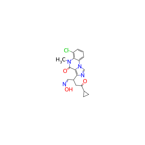 Cn1c(=O)c2c(C(/C=N\O)CC(=O)C3CC3)ncn2c2cccc(Cl)c21